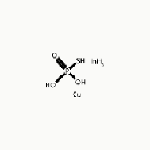 O=P(O)(O)S.[Cu].[InH3]